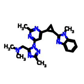 Cc1nc(C2CC2c2nc3ccccc3n2C)cc(-n2nc(C)nc2CN(C)C)n1